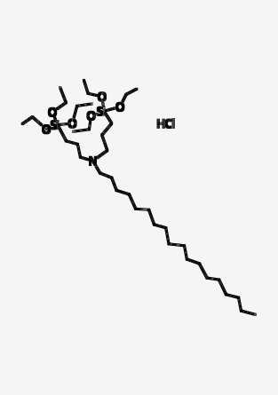 CCCCCCCCCCCCCCCCCCN(CCC[Si](OCC)(OCC)OCC)CCC[Si](OCC)(OCC)OCC.Cl